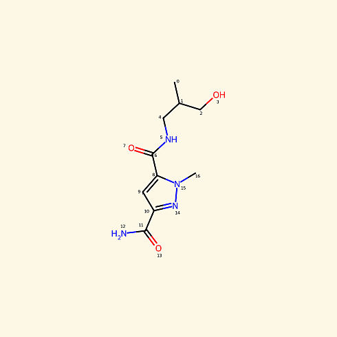 CC(CO)CNC(=O)c1[c]c(C(N)=O)nn1C